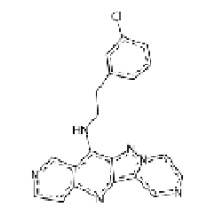 Clc1cccc(CCNc2c3cnccc3nc3c2nn2ccncc32)c1